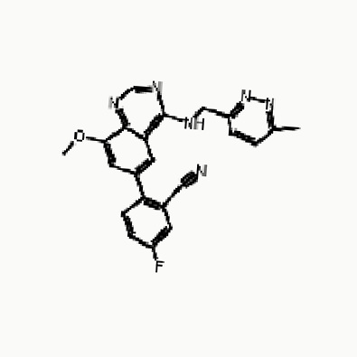 COc1cc(-c2ccc(F)cc2C#N)cc2c(NCc3ccc(C)nn3)ncnc12